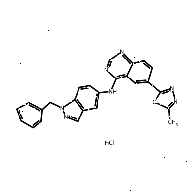 Cc1nnc(-c2ccc3ncnc(Nc4ccc5c(cnn5Cc5ccccc5)c4)c3c2)o1.Cl